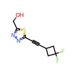 OCc1nnc(C#CC2CC(F)(F)C2)s1